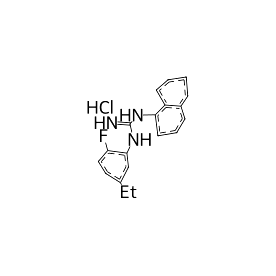 CCc1ccc(F)c(NC(=N)Nc2cccc3ccccc23)c1.Cl